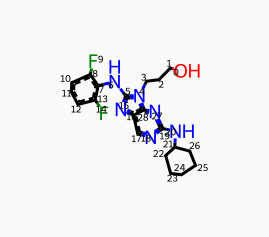 OCCCn1c(Nc2c(F)cccc2F)nc2cnc(NC3CCCCC3)nc21